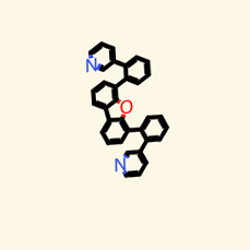 c1cncc(-c2ccccc2-c2cccc3c2oc2c(-c4ccccc4-c4cccnc4)cccc23)c1